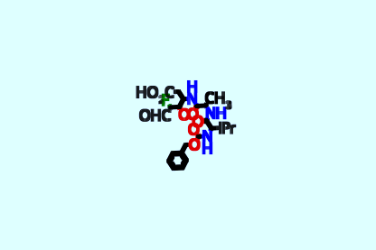 CC(NC(=O)C(NC(=O)OCc1ccccc1)C(C)C)C(=O)NC(CC(=O)O)C(=O)C(F)C=O